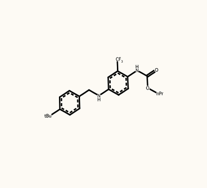 CCCOC(=O)Nc1ccc(NCc2ccc(C(C)(C)C)cc2)cc1C(F)(F)F